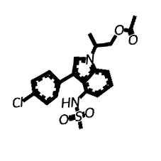 CC(=O)OCC(C)n1cc(-c2ccc(Cl)cc2)c2c(NS(C)(=O)=O)cccc21